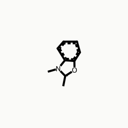 C[C]1Oc2ccccc2N1C